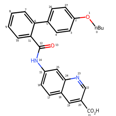 CCCCOc1ccc(-c2ccccc2C(=O)Nc2ccc3cc(C(=O)O)cnc3c2)cc1